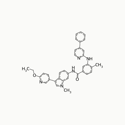 CCOc1ccc(-c2cn(C)c3cc(NC(=O)c4ccc(C)c(Nc5cc(-c6ccccc6)ccn5)c4)ccc23)cn1